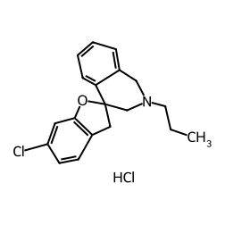 CCCN1Cc2ccccc2C2(Cc3ccc(Cl)cc3O2)C1.Cl